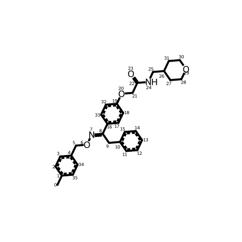 Cc1ccc(CO/N=C(\Cc2ccccc2)c2ccc(OCC(=O)NCC3CCOCC3)cc2)cc1